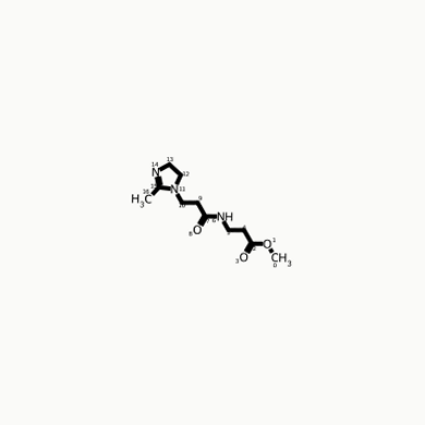 COC(=O)CCNC(=O)CCN1CCN=C1C